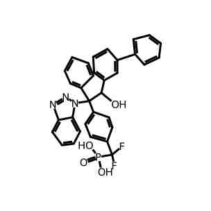 O=P(O)(O)C(F)(F)c1ccc(C(c2ccccc2)(C(O)c2cccc(-c3ccccc3)c2)n2nnc3ccccc32)cc1